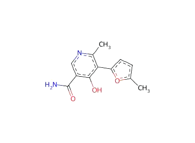 Cc1ccc(-c2c(C)ncc(C(N)=O)c2O)o1